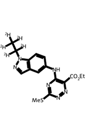 [2H]C([2H])([2H])C([2H])([2H])n1ncc2cc(Nc3nc(SC)nnc3C(=O)OCC)ccc21